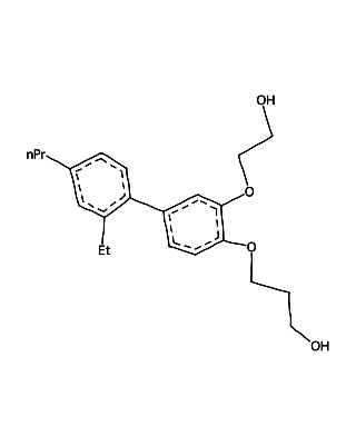 CCCc1ccc(-c2ccc(OCCCO)c(OCCO)c2)c(CC)c1